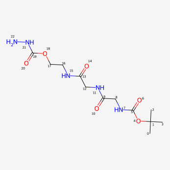 CC(C)(C)OC(=O)NCC(=O)NCC(=O)NCCOC(=O)NN